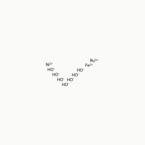 [Fe+2].[Ni+2].[OH-].[OH-].[OH-].[OH-].[OH-].[OH-].[OH-].[Ru+3]